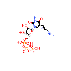 NC/C=C/c1cn([C@@H]2O[C@H](COP(=O)(O)OP(=O)(O)OP(=O)(O)O)[C@H](O)C2O)c(=O)[nH]c1=O